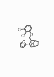 CN1C2CCC1C(COc1cccc(Cl)c1Cl)[C@@H](c1ccco1)C2